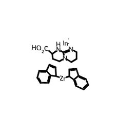 C1=C[CH]([Zr][CH]2C=Cc3ccccc32)c2ccccc21.O=C(O)C1CCN2CCCN=C2N1.[In]